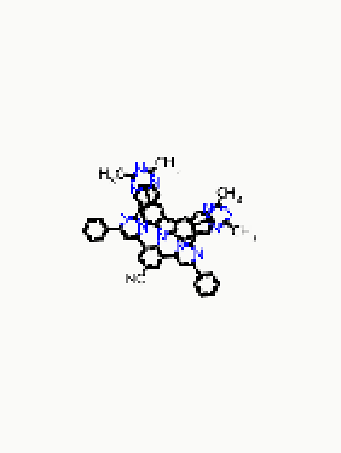 Cc1nc(C)nc(-c2ccc3c(c2)c2cc(-c4nc(C)nc(C)n4)ccc2n3-c2c(-c3cc(-c4ccccc4)nc(-c4ccccc4)n3)cc(C#N)cc2-c2cc(-c3ccccc3)nc(-c3ccccc3)n2)n1